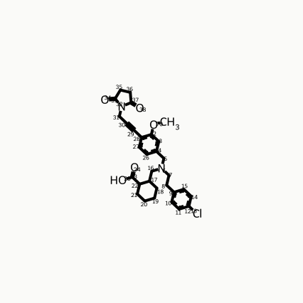 COc1cc(CN(CCc2ccc(Cl)cc2)CC2CCCCC2C(=O)O)ccc1C#CCN1C(=O)CCC1=O